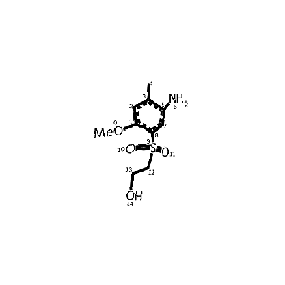 COc1cc(C)c(N)cc1S(=O)(=O)CCO